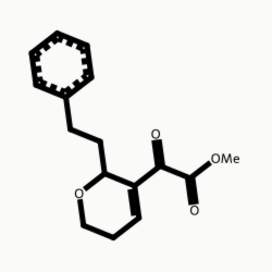 COC(=O)C(=O)C1=CCCOC1CCc1ccccc1